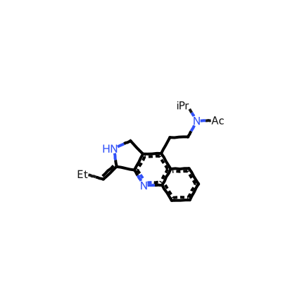 CC/C=C1\NCc2c1nc1ccccc1c2CCN(C(C)=O)C(C)C